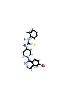 Cc1ccccc1NC(=S)NC1CCN(c2nncc3cc(Br)ccc23)CC1